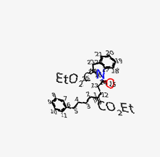 CCOC(=O)[C@H](CCCCc1ccccc1)CCC(=O)N1c2ccccc2C[C@H]1C(=O)OCC